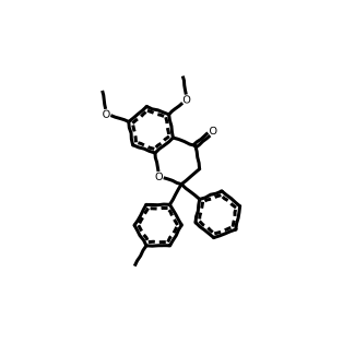 COc1cc(OC)c2c(c1)OC(c1ccccc1)(c1ccc(C)cc1)CC2=O